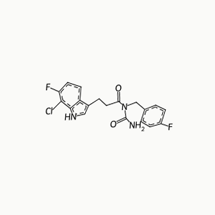 NC(=O)N(Cc1ccc(F)cc1)C(=O)CCc1c[nH]c2c(Cl)c(F)ccc12